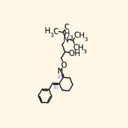 CC(C)N(CC(O)CO/N=C1\CCCC\C1=C/c1ccccc1)C(C)C